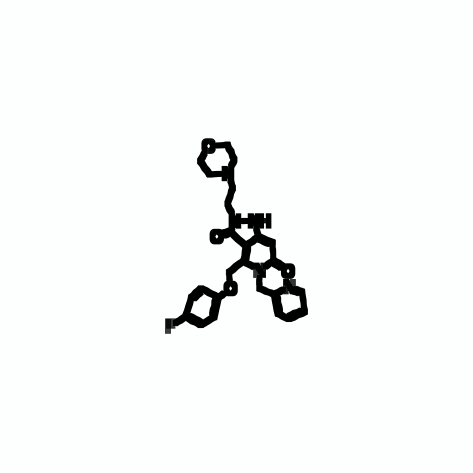 O=c1c2c(COc3ccc(F)cc3)n(Cc3ccccn3)c(=O)cc2[nH]n1CCN1CCOCC1